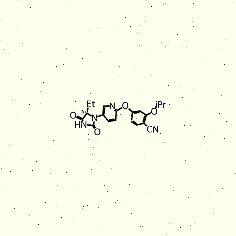 CC[C@@H]1C(=O)NC(=O)N1c1ccc(Oc2ccc(C#N)c(OC(C)C)c2)nc1